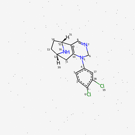 Clc1ccc(N2CN=CC3=C2C[C@@H]2CC[C@H]3N2)cc1Cl